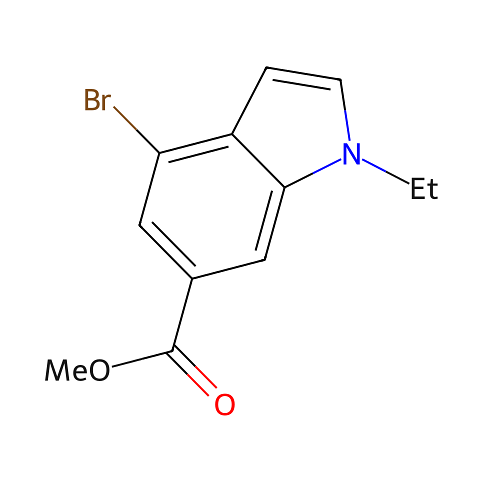 CCn1ccc2c(Br)cc(C(=O)OC)cc21